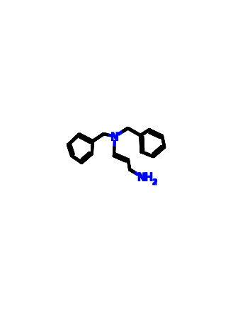 NCC=CN(Cc1ccccc1)Cc1ccccc1